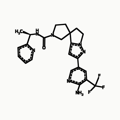 C[C@@H](NC(=O)N1CCC2(CCn3nc(-c4cnc(N)c(C(F)(F)F)c4)cc32)C1)c1ccccn1